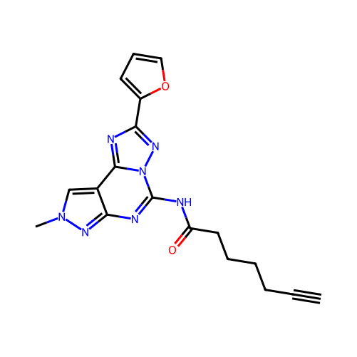 C#CCCCCC(=O)Nc1nc2nn(C)cc2c2nc(-c3ccco3)nn12